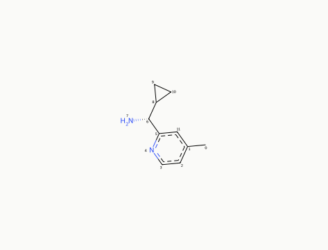 Cc1ccnc([C@H](N)C2CC2)c1